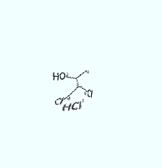 CCO.Cl.ClCCl